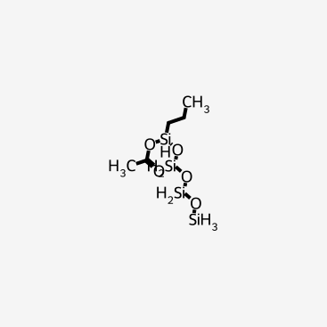 CCC[SiH](O[SiH2]O[SiH2]O[SiH3])OC(C)=O